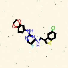 Fc1cnc(Nc2ccc3c(c2)OCCO3)nc1NCc1csc2ccc(Cl)cc12